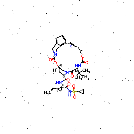 C=C[C@@H]1C[C@]1(NC(=O)[C@@H]1C[C@@H]2CN1C(=O)[C@H](C(C)(C)C)NC(=O)OCC/C=C/c1cccc3c1CN(C3)C(=O)O2)C(=O)NS(=O)(=O)C1CC1